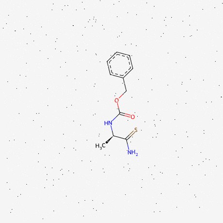 C[C@@H](NC(=O)OCc1ccccc1)C(N)=S